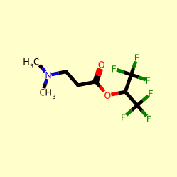 CN(C)CCC(=O)OC(C(F)(F)F)C(F)(F)F